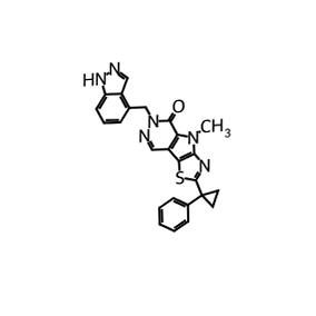 Cn1c2nc(C3(c4ccccc4)CC3)sc2c2cnn(Cc3cccc4[nH]ncc34)c(=O)c21